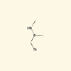 CCCB(I)BI